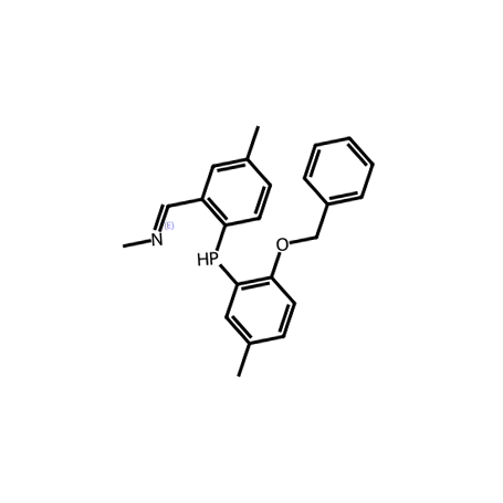 C/N=C/c1cc(C)ccc1Pc1cc(C)ccc1OCc1ccccc1